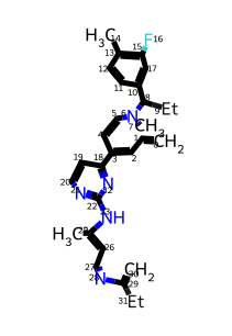 C=C/C=C(\C=C/N(C)C(CC)c1ccc(C)c(F)c1)c1ccnc(N/C(C)=C/C=N\C(=C)CC)n1